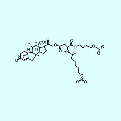 C[C@]12CCC(=O)C=C1CC[C@@H]1[C@@H]2[C@@H](O)C[C@@]2(C)[C@H]1CC[C@]2(O)C(=O)COC(=O)CC(NC(=O)CCCCCO[N+](=O)[O-])C(=O)OCCCCO[N+](=O)[O-]